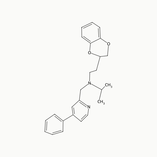 CC(C)N(CCC1COc2ccccc2O1)Cc1cc(-c2ccccc2)ccn1